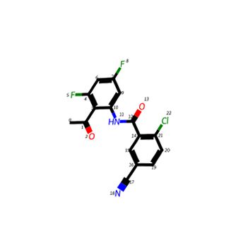 CC(=O)c1c(F)cc(F)cc1NC(=O)c1cc(C#N)ccc1Cl